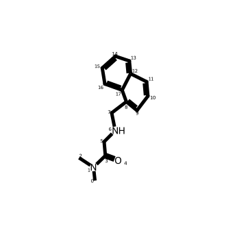 CN(C)C(=O)CNCc1cccc2ccccc12